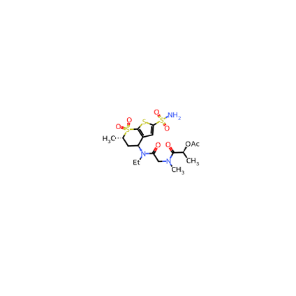 CCN(C(=O)CN(C)C(=O)[C@H](C)OC(C)=O)[C@H]1C[C@H](C)S(=O)(=O)c2sc(S(N)(=O)=O)cc21